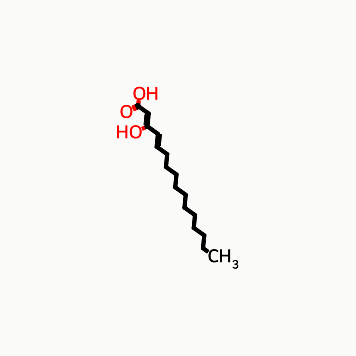 CCCCCCCCCCCC=CC(O)=CC(=O)O